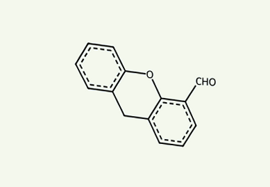 O=Cc1cccc2c1Oc1ccccc1C2